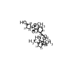 Cc1ccc(C(=O)NC2C(C)(C)[C@@H]3CC[C@@]2(C)C3)cc1S(=O)(=O)N1CC[C@@H](O)C1